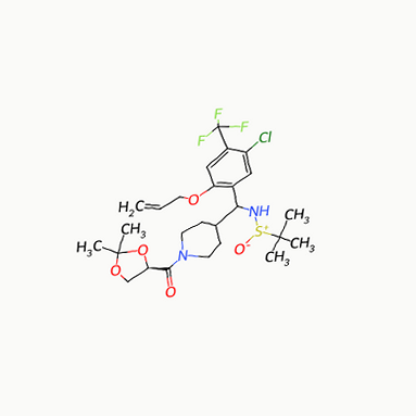 C=CCOc1cc(C(F)(F)F)c(Cl)cc1C(N[S+]([O-])C(C)(C)C)C1CCN(C(=O)[C@H]2COC(C)(C)O2)CC1